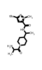 CC(N)C(=O)N1CCC(C(C)NC(=O)c2cc(C(C)(C)C)nn2C)CC1